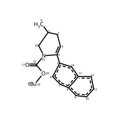 CC1CC=C(c2ccc3ccccc3c2)N(C(=O)OC(C)(C)C)C1